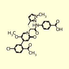 COc1cn([C@H](Cc2ccn(C)n2)C(=O)Nc2ccc(C(=O)O)cc2)c(=O)cc1-c1cc(Cl)ccc1C(C)=O